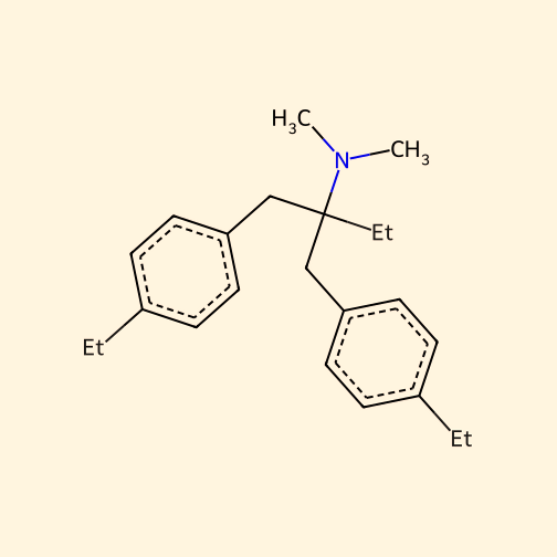 CCc1ccc(CC(CC)(Cc2ccc(CC)cc2)N(C)C)cc1